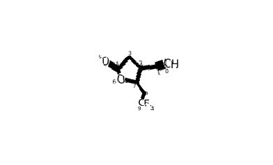 C#CC1CC(=O)OC1CC(F)(F)F